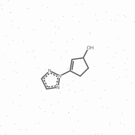 OC1C=C(n2nccn2)CC1